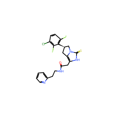 O=C(Cc1[nH]c(=S)n2c1C[C@@H](c1c(F)ccc(Cl)c1F)C2)NCCc1ccccn1